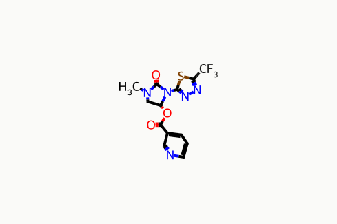 CN1CC(OC(=O)c2cccnc2)N(c2nnc(C(F)(F)F)s2)C1=O